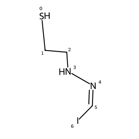 SCCN/N=C\I